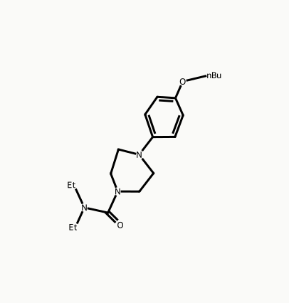 CCCCOc1ccc(N2CCN(C(=O)N(CC)CC)CC2)cc1